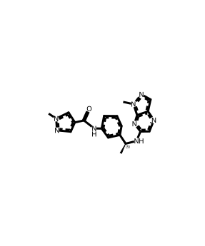 C[C@H](Nc1cnc2cnn(C)c2n1)c1cccc(NC(=O)c2cnn(C)c2)c1